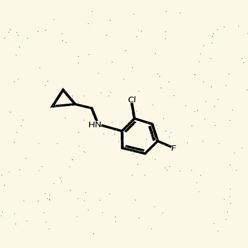 Fc1ccc(NCC2CC2)c(Cl)c1